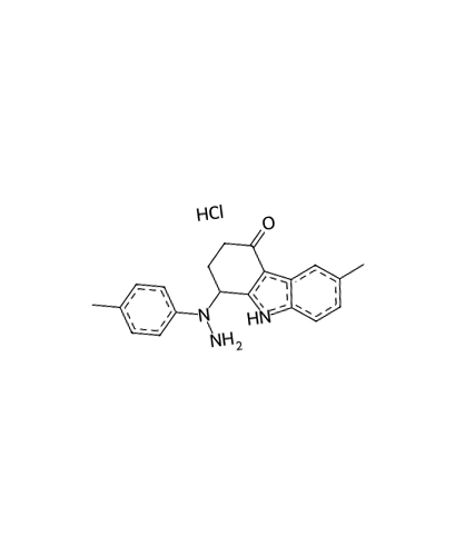 Cc1ccc(N(N)C2CCC(=O)c3c2[nH]c2ccc(C)cc32)cc1.Cl